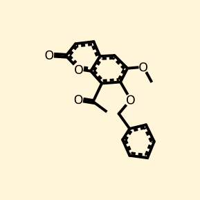 COc1cc2ccc(=O)oc2c(C(C)=O)c1OCc1ccccc1